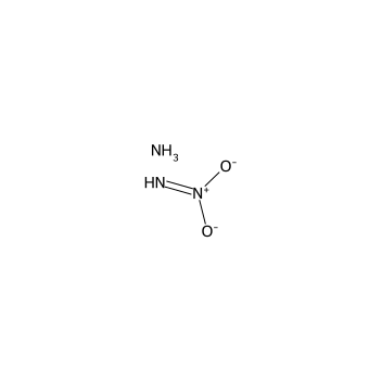 N.N=[N+]([O-])[O-]